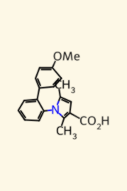 COc1ccc(-c2ccccc2-n2c(C)cc(C(=O)O)c2C)cc1